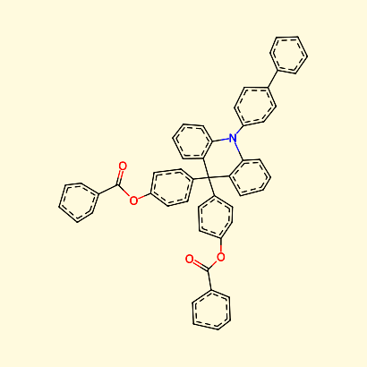 O=C(Oc1ccc(C2(c3ccc(OC(=O)c4ccccc4)cc3)c3ccccc3N(c3ccc(-c4ccccc4)cc3)c3ccccc32)cc1)c1ccccc1